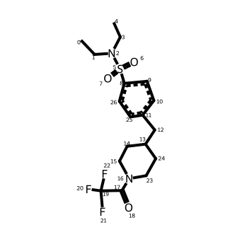 CCN(CC)S(=O)(=O)c1ccc(CC2CCN(C(=O)C(F)(F)F)CC2)cc1